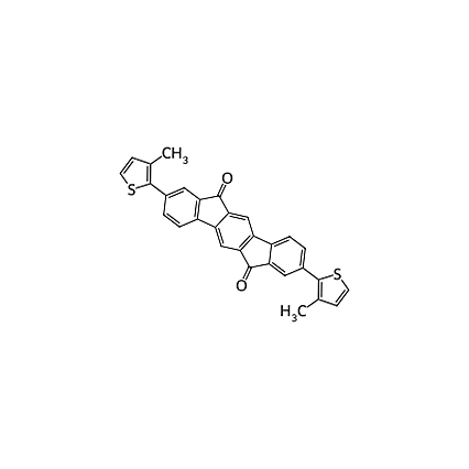 Cc1ccsc1-c1ccc2c(c1)c(=O)c1cc3c(cc12)c(=O)c1cc(-c2sccc2C)ccc13